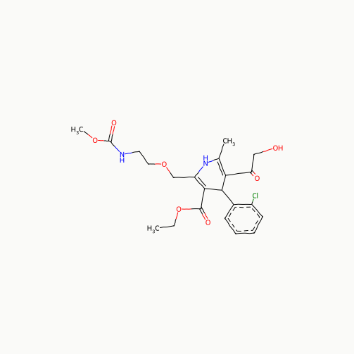 CCOC(=O)C1=C(COCCNC(=O)OC)NC(C)=C(C(=O)CO)C1c1ccccc1Cl